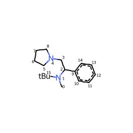 CN(C(CN1CCCC1)c1ccccc1)C(C)(C)C